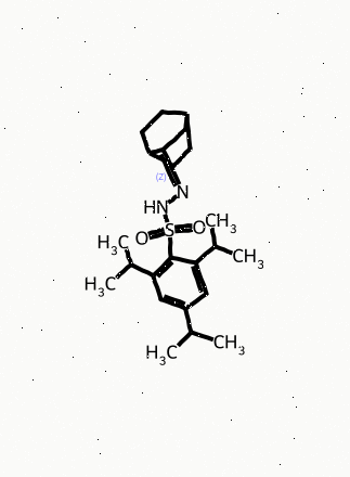 CC(C)c1cc(C(C)C)c(S(=O)(=O)N/N=C2/CC3CCC2CC3)c(C(C)C)c1